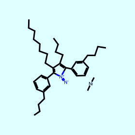 CCCCCCCCC1=C(c2cccc(CCCC)c2)[N+](=[N-])C(c2cccc(CCCC)c2)=C1CCCC.[CH3][Ni][CH3]